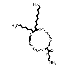 CCCCCCCC/C=C1\CCCCCCCCC(C(=O)NCCN)CCCCCC/C=C\CC1CCCCCC